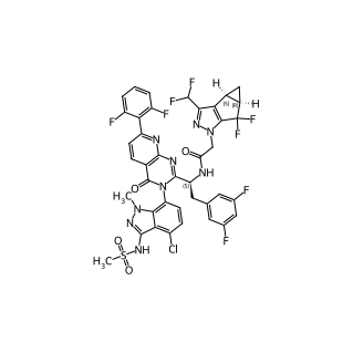 Cn1nc(NS(C)(=O)=O)c2c(Cl)ccc(-n3c([C@H](Cc4cc(F)cc(F)c4)NC(=O)Cn4nc(C(F)F)c5c4C(F)(F)[C@@H]4C[C@H]54)nc4nc(-c5c(F)cccc5F)ccc4c3=O)c21